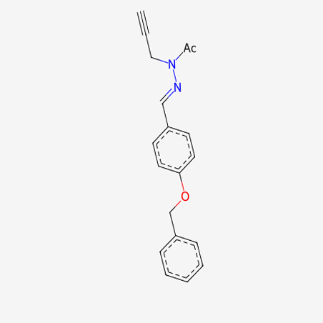 C#CCN(N=Cc1ccc(OCc2ccccc2)cc1)C(C)=O